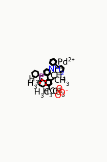 CC(C)c1cc(C(C)C)c(-c2ccccc2P(C2CCCCC2)C2CCCCC2)c(C(C)C)c1.CS(=O)(=O)[O-].Nc1ccccc1-c1[c-]cccc1.[Pd+2]